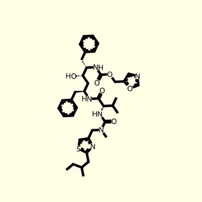 CCC(C)Cc1nc(CN(C)C(=O)N[C@H](C(=O)N[C@@H](Cc2ccccc2)C[C@H](O)[C@H](Cc2ccccc2)NC(=O)OCc2cnco2)C(C)C)cs1